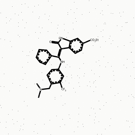 CCOC(=O)c1ccc2c(c1)NC(=O)C2=C(Nc1ccc(CN(C)C)c(C(F)(F)F)c1)c1ccccc1